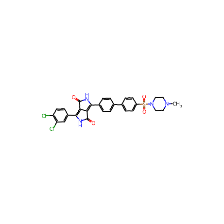 CN1CCN(S(=O)(=O)c2ccc(-c3ccc(C4=C5C(=O)NC(c6ccc(Cl)c(Cl)c6)=C5C(=O)N4)cc3)cc2)CC1